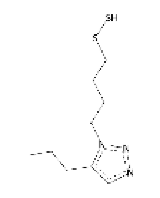 CCCc1cnnn1CCCCSS